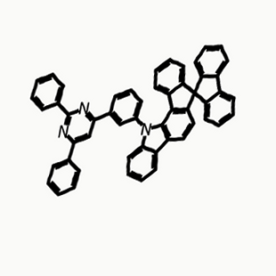 c1ccc(-c2cc(-c3cccc(-n4c5ccccc5c5ccc6c(c54)-c4ccccc4C64c5ccccc5-c5ccccc54)c3)nc(-c3ccccc3)n2)cc1